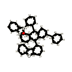 CCc1nc2ccccc2n1-c1ccccc1-c1c2ccccc2c(-c2cccc3oc4ccccc4c23)c2cc(-c3ccccc3)ccc12